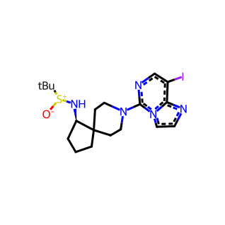 CC(C)(C)[S+]([O-])N[C@@H]1CCCC12CCN(c1ncc(I)c3nccn13)CC2